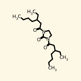 CCCCC(CC)CC(=O)N1CCN(C(=O)CC(CC)CCCC)C1=O